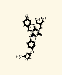 Cc1nnc(Oc2ccc(/N=c3\[nH]c(=O)n(CC(CO)CO)c(=O)n3Cc3ccc(Cl)cc3)cc2)s1